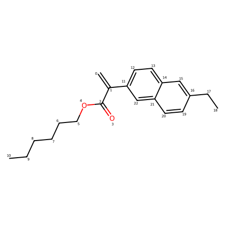 C=C(C(=O)OCCCCCC)c1ccc2cc(CC)ccc2c1